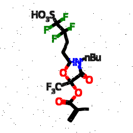 C=C(C)C(=O)OC(OCCCC(F)(F)C(F)(F)S(=O)(=O)O)(C(=O)NCCCC)C(F)(F)F